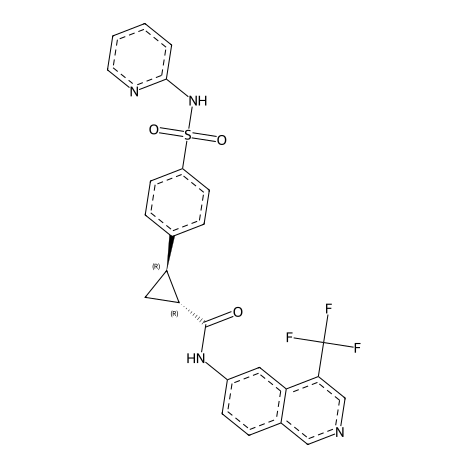 O=C(Nc1ccc2cncc(C(F)(F)F)c2c1)[C@@H]1C[C@H]1c1ccc(S(=O)(=O)Nc2ccccn2)cc1